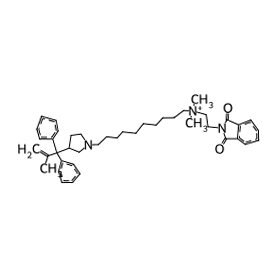 C=C(C)C(c1ccccc1)(c1ccccc1)C1CCN(CCCCCCCCCC[N+](C)(C)CCN2C(=O)c3ccccc3C2=O)C1